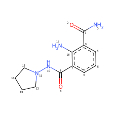 NC(=O)c1cccc(C(=O)NN2CCCC2)c1N